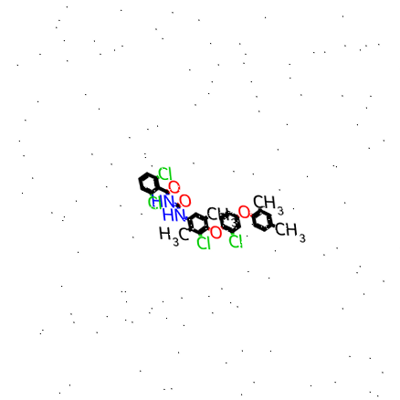 Cc1ccc(Oc2ccc(Oc3c(C)cc(NC(=O)NC(=O)c4c(Cl)cccc4Cl)c(C)c3Cl)c(Cl)c2)c(C)c1